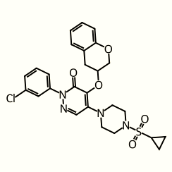 O=c1c(OC2COc3ccccc3C2)c(N2CCN(S(=O)(=O)C3CC3)CC2)cnn1-c1cccc(Cl)c1